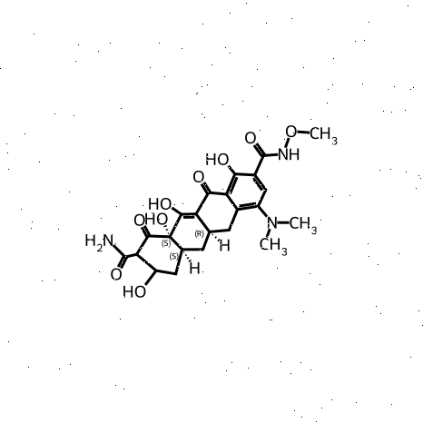 CONC(=O)c1cc(N(C)C)c2c(c1O)C(=O)C1=C(O)[C@]3(O)C(=O)C(C(N)=O)C(O)C[C@@H]3C[C@@H]1C2